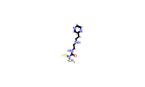 CN(S)C(=O)NCCNCCc1cnccn1